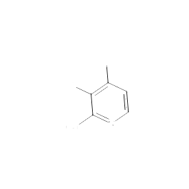 Cc1c(Cl)ccnc1C(C)(C)C